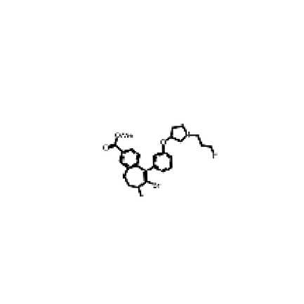 COC(=O)c1ccc2c(c1)CCC(C)C(Br)=C2c1cccc(OC2CCN(CCCF)C2)c1